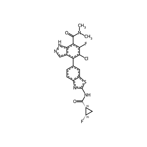 CN(C)C(=O)c1c(F)c(Cl)c(-c2ccc3nc(NC(=O)[C@@H]4C[C@@H]4F)sc3c2)c2cn[nH]c12